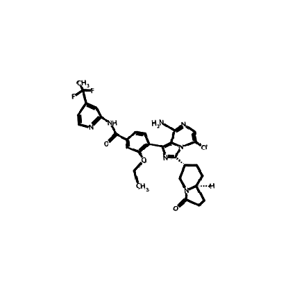 CCOc1cc(C(=O)Nc2cc(C(C)(F)F)ccn2)ccc1-c1nc([C@@H]2CC[C@H]3CCC(=O)N3C2)n2c(Cl)cnc(N)c12